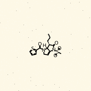 CCC[C@H]1C(=O)N(S(C)(=O)=O)C2=CCN(C(=O)c3cccs3)[C@@H]21